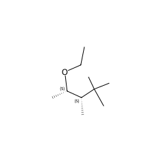 CCO[C@@H](C)[C@@H](C)C(C)(C)C